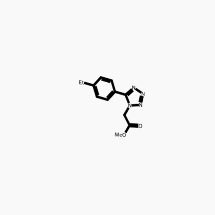 CCc1ccc(-c2nnnn2CC(=O)OC)cc1